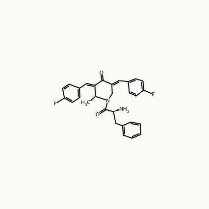 CC1/C(=C\c2ccc(F)cc2)C(=O)/C(=C/c2ccc(F)cc2)CN1C(=O)[C@@H](N)Cc1ccccc1